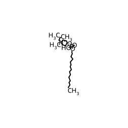 CCCCCCCCCCCCCCCCOP(=O)(O)OC1CC[N+](C)(CC(C)C)CC1